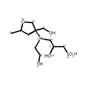 CC1CC(CO)(N(CCO)CC(O)CS(=O)(=O)O)CO1